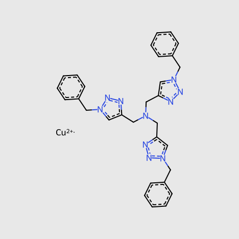 [Cu+2].c1ccc(Cn2cc(CN(Cc3cn(Cc4ccccc4)nn3)Cc3cn(Cc4ccccc4)nn3)nn2)cc1